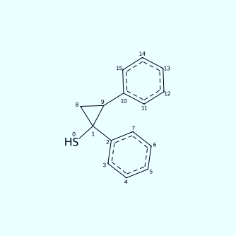 SC1(c2ccccc2)CC1c1ccccc1